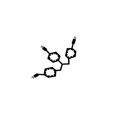 N#Cc1ccc(CC(Cc2ccc(C#N)cc2)c2ccc(C#N)cc2)cc1